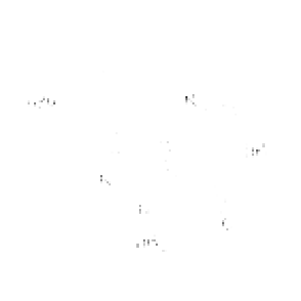 CCCCC(C)c1nn(N)c2c(=O)[nH]cnc12